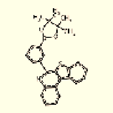 CC1(C)OB(c2cccc(-c3nc4ccccc4c4c3sc3ccccc34)c2)OC1(C)C